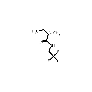 CC[C@H](C)C(=O)NCC(F)(F)F